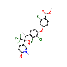 COC(=O)c1ccc(Oc2ccc([C@@H](C)[C@@](O)(c3ccc(=O)n(C)c3)C(F)(F)F)c(Cl)c2Cl)cc1F